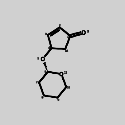 O=C1C=CC(O[C@H]2CCCCO2)C1